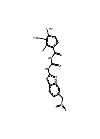 COc1ccc(C(=O)NC(=O)Nc2nc3ccc(C[SH](=O)=O)cc3s2)c(Cl)c1OC